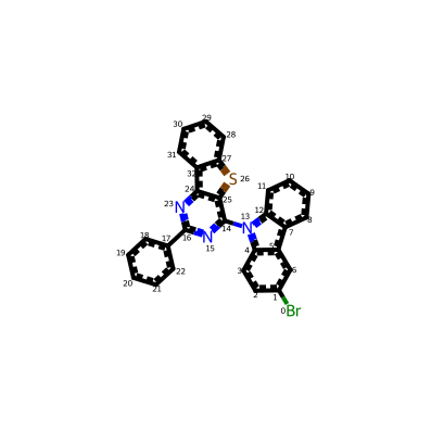 Brc1ccc2c(c1)c1ccccc1n2-c1nc(-c2ccccc2)nc2c1sc1ccccc12